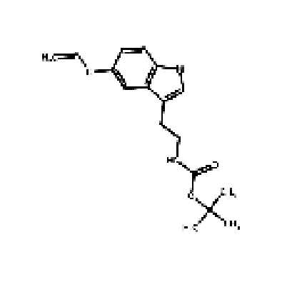 C=COc1ccc2[nH]cc(CCNC(=O)OC(C)(C)C)c2c1